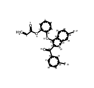 C=CC(=O)Oc1ccccc1Oc1c(C(=O)c2cccc(F)c2)sc2cc(F)ccc12